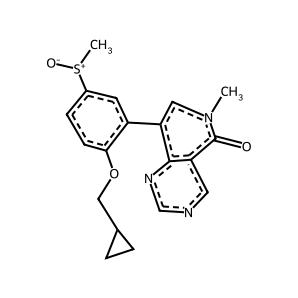 Cn1cc(-c2cc([S+](C)[O-])ccc2OCC2CC2)c2ncncc2c1=O